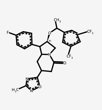 Cc1noc(C2CC(=O)N3C[C@H](OC(C)c4cc(C(F)(F)F)cc(C(F)(F)F)c4)C(c4ccc(F)cc4)C3C2)n1